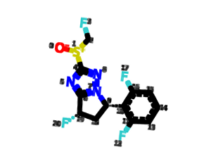 [O-][S+](CF)c1nc2n(n1)[C@H](c1c(F)cccc1F)C[C@@H]2F